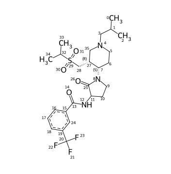 CC(C)CN1CC[C@H](N2CCC(NC(=O)c3cccc(C(F)(F)F)c3)C2=O)[C@H](CS(=O)(=O)C(C)C)C1